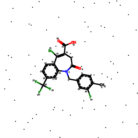 Cc1ccc(CN2C(=O)CC(C(=O)O)=C(Br)c3ccc(C(F)(F)F)cc32)cc1F